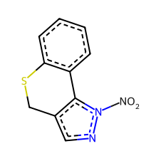 O=[N+]([O-])n1ncc2c1-c1ccccc1SC2